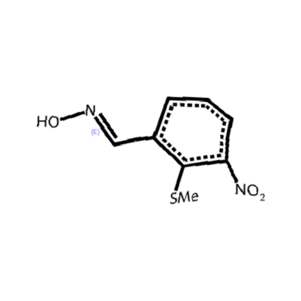 CSc1c(/C=N/O)cccc1[N+](=O)[O-]